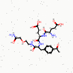 CC(=O)c1ccc(CC(NC(=O)[C@@H](CCC(=O)O)NC(=O)[C@H](N)CCC(=O)O)C(=O)NCCOCC(N)=O)cc1